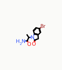 CC(C(N)=O)N1C(=O)Cc2cc(Br)ccc21